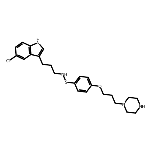 Clc1ccc2[nH]cc(CCCNSc3ccc(OCCCN4CCNCC4)cc3)c2c1